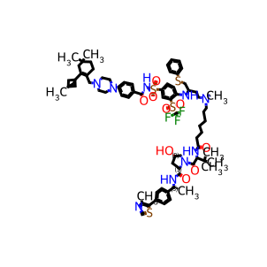 Cc1ncsc1-c1ccc([C@H](C)NC(=O)[C@@H]2C[C@@H](O)CN2C(=O)C(NC(=O)CCCCCCN(C)CCC(CSc2ccccc2)Nc2ccc(S(=O)(=O)NC(=O)c3ccc(N4CCN(CC5=C(C67CC(C)(C6)C7)CC(C)(C)CC5)CC4)cc3)cc2S(=O)(=O)C(F)(F)F)C(C)(C)C)cc1